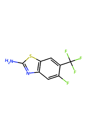 Nc1nc2cc(F)c(C(F)(F)F)cc2s1